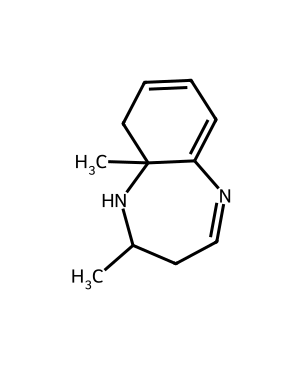 CC1CC=NC2=CC=CCC2(C)N1